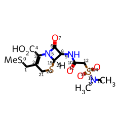 CSCC1=C(C(=O)O)N2C(=O)C(NC(=O)CS(=O)(=O)N(C)C)[C@H]2SC1